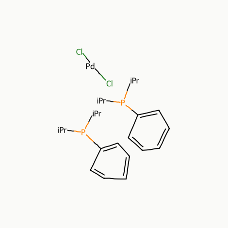 CC(C)P(c1ccccc1)C(C)C.CC(C)P(c1ccccc1)C(C)C.[Cl][Pd][Cl]